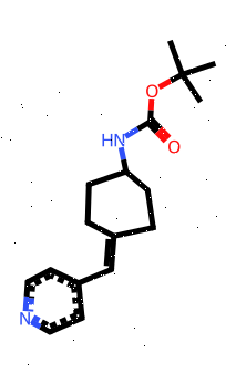 CC(C)(C)OC(=O)NC1CCC(=Cc2ccncc2)CC1